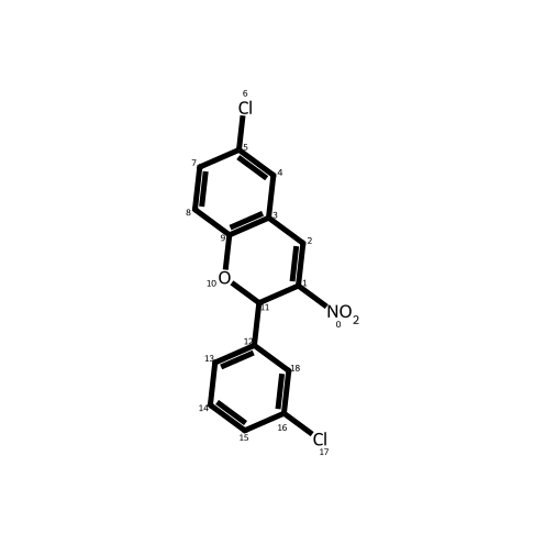 O=[N+]([O-])C1=Cc2cc(Cl)ccc2OC1c1cccc(Cl)c1